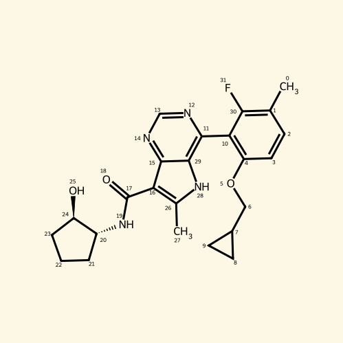 Cc1ccc(OCC2CC2)c(-c2ncnc3c(C(=O)N[C@@H]4CCC[C@H]4O)c(C)[nH]c23)c1F